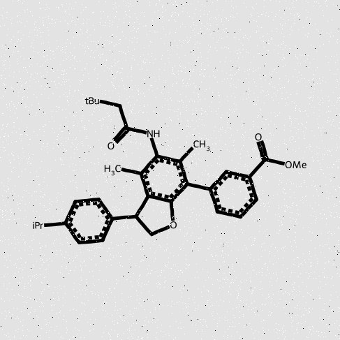 COC(=O)c1cccc(-c2c(C)c(NC(=O)CC(C)(C)C)c(C)c3c2OCC3c2ccc(C(C)C)cc2)c1